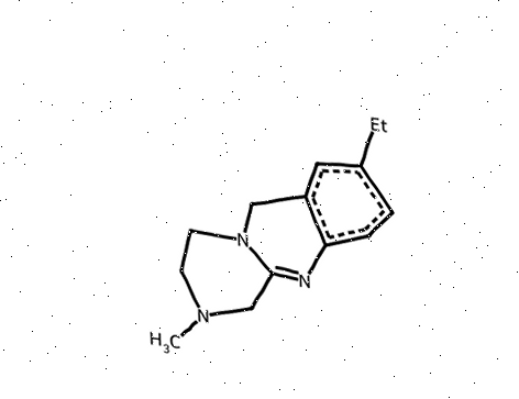 CCc1ccc2c(c1)CN1CCN(C)CC1=N2